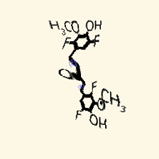 COc1c(O)c(F)cc(/C=C/C(=O)/C=C/c2cc(F)c(O)c(OC)c2F)c1F